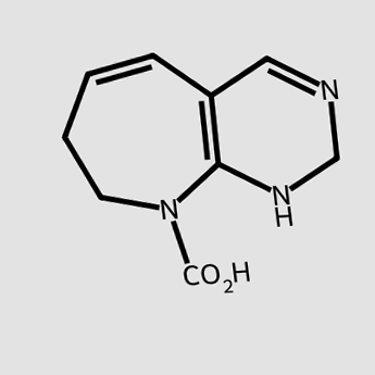 O=C(O)N1CCC=CC2=C1NCN=C2